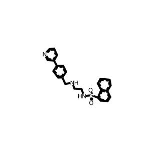 O=S(=O)(NCCNCc1ccc(-c2cccnc2)cc1)c1cccc2ccccc12